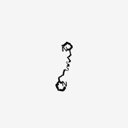 c1ccc(CCCSSCCCc2ccccn2)nc1